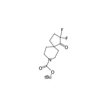 CC(C)(C)OC(=O)N1CCC2(CC1)CCC(F)(F)C2=O